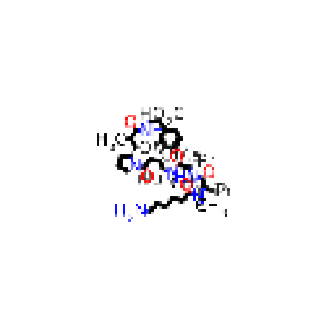 CC[C@H](C)[C@@H]([C@@H](CC(=O)N1CCC[C@H]1C(OC)[C@@H](C)C(=O)N[C@@H](Cc1ccccc1)C(=O)O)OC)N(C)C(=O)[C@@H](NC(=O)C(C(C)C)N(C)C(=O)CCCCCN)C(C)C